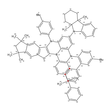 CC(C)(C)c1ccc(N2c3cc(N4c5ccccc5C5(C)CCCCC45C)cc4c3B(c3ccc(C(C)(C)c5ccccc5)cc3N4c3ccc(C(C)(C)C)cc3-c3ccccc3)c3oc4cc5c(cc4c32)C(C)(C)CC5(C)C)cc1